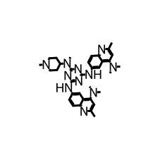 Cc1cc(N(C)C)c2cc(Nc3nc(Nc4ccc5nc(C)cc(N(C)C)c5c4)nc(N(C)C4CCN(C)CC4)n3)ccc2n1